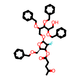 CC(=O)CCC(=O)OC1C(F)[C@H](OCC(OCc2ccccc2)C(OCc2ccccc2)C(CO)OCc2ccccc2)O[C@@H]1COCc1ccccc1